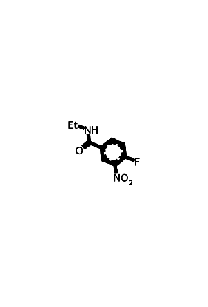 CCNC(=O)c1ccc(F)c([N+](=O)[O-])c1